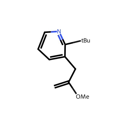 C=C(Cc1cccnc1C(C)(C)C)OC